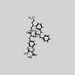 CCCCCNC(=O)[C@H](Cc1ccc(OC(C(=O)O)C(=O)O)cc1)NC(=O)N(Cc1ccccc1)Cc1ccccc1